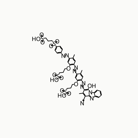 Cc1cc(N=Nc2cc(OCCCS(=O)(=O)O)c(N=Nc3c(C)c(C#N)c4nc5ccccc5n4c3O)cc2C)c(OCCCS(=O)(=O)O)cc1N=Nc1ccc(S(=O)(=O)CCCS(=O)(=O)O)cc1